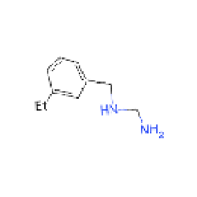 CCc1cccc(CNCN)c1